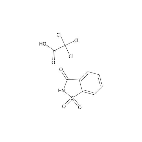 O=C(O)C(Cl)(Cl)Cl.O=C1NS(=O)(=O)c2ccccc21